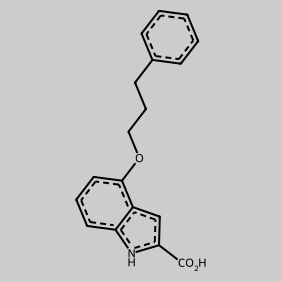 O=C(O)c1cc2c(OCCCc3ccccc3)cccc2[nH]1